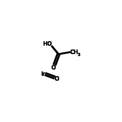 CC(=O)O.[O]=[Ir]